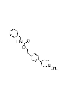 CN1CC=C(c2ccc(CCOC(=O)NCc3ccccc3)cc2)CC1